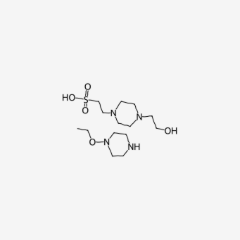 CCON1CCNCC1.O=S(=O)(O)CCN1CCN(CCO)CC1